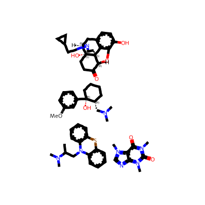 CC(CN1c2ccccc2Sc2ccccc21)N(C)C.COc1cccc([C@@]2(O)CCCC[C@@H]2CN(C)C)c1.Cn1c(=O)c2c(ncn2C)n(C)c1=O.O=C1CC[C@@]2(O)[C@H]3Cc4ccc(O)c5c4[C@@]2(CCN3CC2CC2)[C@H]1O5